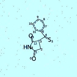 O=C1CC(C(=S)c2ccccc2)C(=O)N1